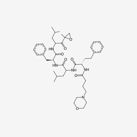 CC(C)CC(NC(=O)[C@H](CCc1ccccc1)NC(=O)CCCN1CCOCC1)C(=O)N[C@@H](Cc1ccccc1)C(=O)NC(CC(C)C)C(=O)C1(C)CO1